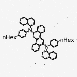 CCCCCCc1ccc(N(c2cccc3ccccc23)c2cc3c4ccccc4c(N(c4ccc(CCCCCC)cc4)c4cccc5ccccc45)cc3c3ccccc23)cc1